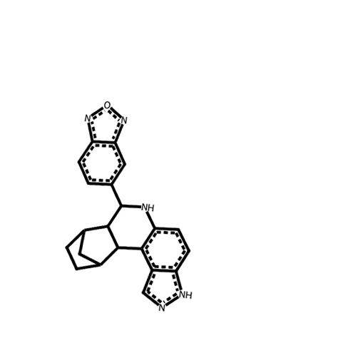 c1cc2nonc2cc1C1Nc2ccc3[nH]ncc3c2C2C3CCC(C3)C12